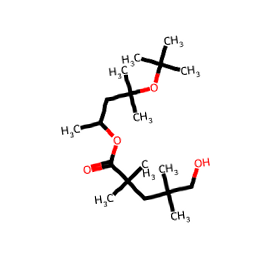 CC(CC(C)(C)OC(C)(C)C)OC(=O)C(C)(C)CC(C)(C)CO